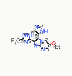 CCOc1cnc2nc(-c3nc(C(F)(F)F)n[nH]3)c(-c3cnc[nH]3)n2c1